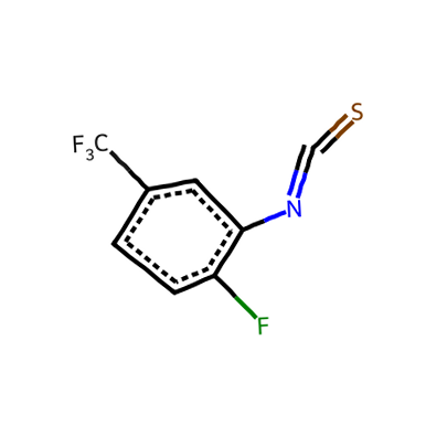 Fc1ccc(C(F)(F)F)cc1N=C=S